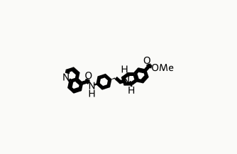 COC(=O)c1ccc2c(c1)[C@H]1CC[C@@H]2N1CC[C@H]1CC[C@H](NC(=O)c2cccc3ncccc23)CC1